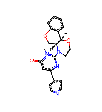 Cn1c(N2CCO[C@H]3c4ccccc4OC[C@H]32)nc(-c2ccncc2)cc1=O